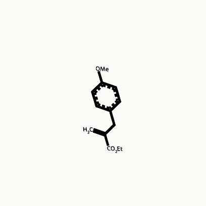 C=C(Cc1ccc(OC)cc1)C(=O)OCC